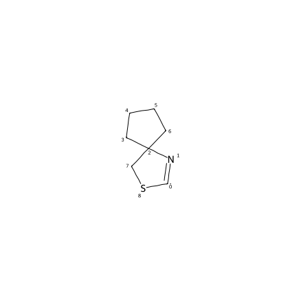 [C]1=NC2(CCCC2)CS1